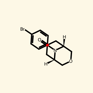 O=C1C[C@H]2COC[C@@H](C1)N2c1ccc(Br)cc1